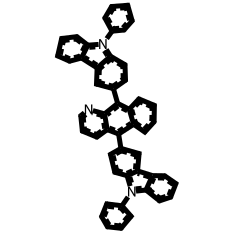 c1ccc(-n2c3ccccc3c3cc(-c4c5ccccc5c(-c5ccc6c(c5)c5ccccc5n6-c5ccccc5)c5ncccc45)ccc32)cc1